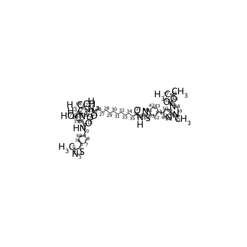 Cc1ncsc1-c1ccc(CNC(=O)[C@@H]2C[C@@H](O)CN2C(=O)[C@@H](NC(=O)CCCCCCCCCCC(=O)Nc2nc3ccc(-c4cnc5c(c4)N(C(=O)OC(C)C)CCN5C)cc3s2)C(C)(C)C)cc1